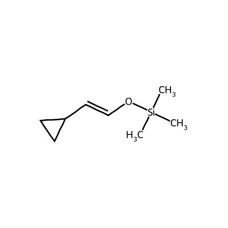 C[Si](C)(C)OC=CC1CC1